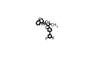 CC(C)c1c(C(=O)N[C@H]2CCOc3ccccc32)sc2cc(-c3cc(F)cc(F)c3)ccc12